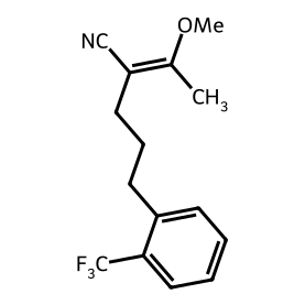 COC(C)=C(C#N)CCCc1ccccc1C(F)(F)F